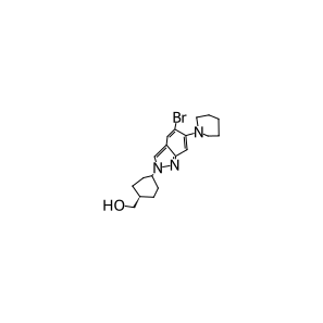 OC[C@H]1CC[C@H](n2cc3cc(Br)c(N4CCCCC4)cc3n2)CC1